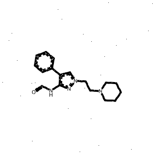 O=CNc1nn(CCN2CCCCC2)cc1-c1ccccc1